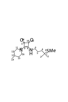 CSC(C)(C)CCCNc1c(N2CCC(C)CC2)c(=O)c1=O